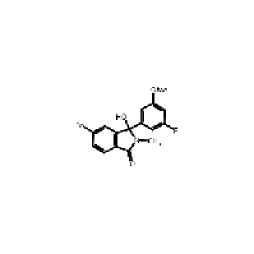 COc1cc(F)cc(C2(O)c3cc(Br)ccc3C(=O)N2C)c1